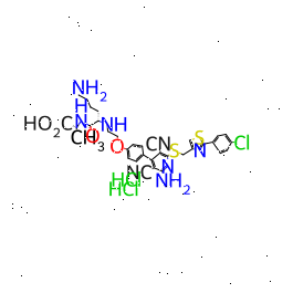 C[C@@H](NC(=O)[C@H](CCCCN)NCCOc1ccc(-c2c(C#N)c(N)nc(SCc3csc(-c4ccc(Cl)cc4)n3)c2C#N)cc1)C(=O)O.Cl.Cl